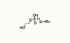 CCCCOOP(=O)(O)OCCO